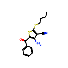 CCCCSc1sc(C(=O)c2ccccc2)c(N)c1C#N